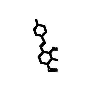 COC1CCC(C=CC2CCC(C)CC2)C(S)C1C